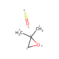 CC1(C)CO1.O=S